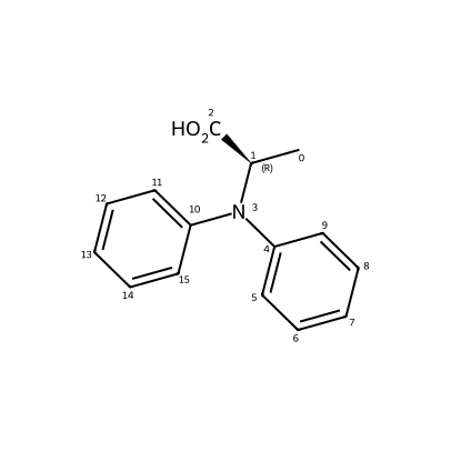 C[C@H](C(=O)O)N(c1ccccc1)c1ccccc1